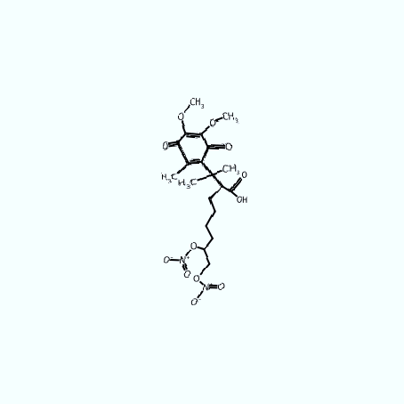 COC1=C(OC)C(=O)C(C(C)(C)[C@H](CCCCC(CO[N+](=O)[O-])O[N+](=O)[O-])C(=O)O)=C(C)C1=O